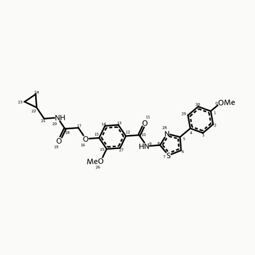 COc1ccc(-c2csc(NC(=O)c3ccc(OCC(=O)NCC4CC4)c(OC)c3)n2)cc1